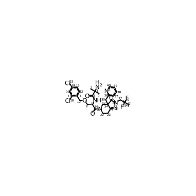 CC(C)(N)C(=O)N[C@H](COCc1ccc(Cl)cc1Cl)C(=O)N1CCC2=NN(CC(F)(F)F)C(=O)C2(Cc2ccccn2)C1